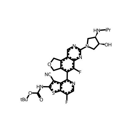 CC(C)N[C@@H]1CN(c2ncc3c4c(c(-c5ncc(F)c6sc(NC(=O)OC(C)(C)C)c(C#N)c56)c(F)c3n2)COC4)C[C@@H]1O